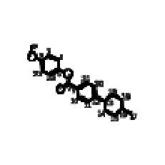 COc1ccc(OC(=O)c2ccc(C3CCC(C)CC3)cc2)cc1